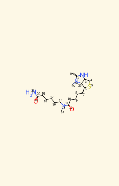 C=C1NC2CS[C@@H](CCCCC(=O)N(C)CCCCCC(N)=O)C2N1C